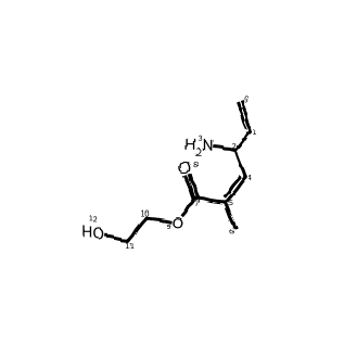 C=CC(N)C=C(C)C(=O)OCCO